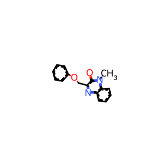 Cn1c(=O)c(COc2ccccc2)nc2ccccc21